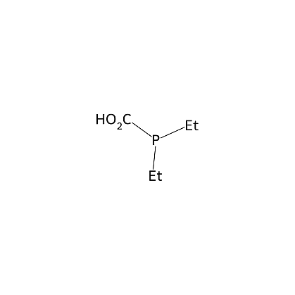 CCP(CC)C(=O)O